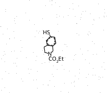 CCOC(=O)N1CCc2cc(S)ccc2C1